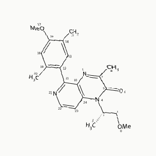 COC[C@H](C)n1c(=O)c(C)nc2c(-c3cc(C)c(OC)cc3C)nccc21